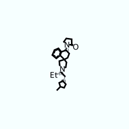 CC[C@@H](C[C@@H]1CCC(C)C1)N1CCC2(CC[C@H](N3CCCC3=O)c3ccccc32)CC1